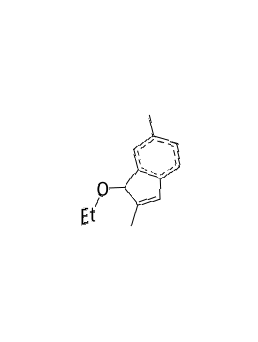 CCOC1C(C)=Cc2ccc(C)cc21